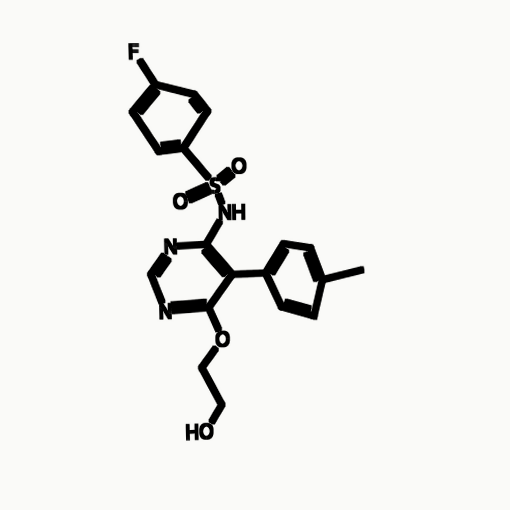 Cc1ccc(-c2c(NS(=O)(=O)c3ccc(F)cc3)ncnc2OCCO)cc1